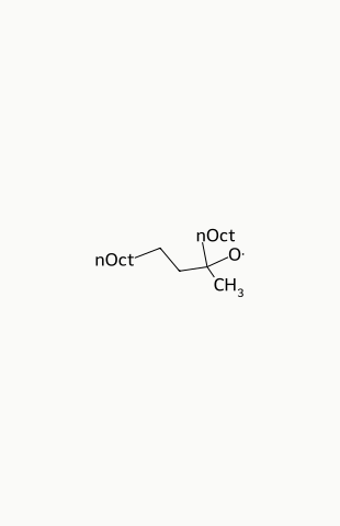 CCCCCCCCCCC(C)([O])CCCCCCCC